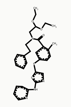 CCOC(CN(CCc1ccccc1)C(=O)c1cc(Sc2cnc(Nc3ccccn3)s2)ccc1C)OCC